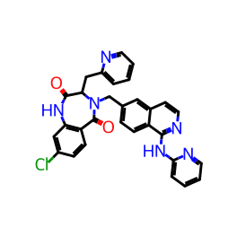 O=C1Nc2cc(Cl)ccc2C(=O)N(Cc2ccc3c(Nc4ccccn4)nccc3c2)C1Cc1ccccn1